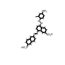 Cc1cc(N)ccc1N=Nc1ccc(N=Nc2ccc3cc(S(=O)(=O)O)ccc3c2)c2cc(S(=O)(=O)O)ccc12